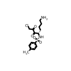 Cc1ccc(S(=O)(=O)N[C@@H](CCCCN)C(=O)C(=O)CCl)cc1